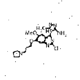 COc1cc2c([SH]3C(C)=NN=C3N)nc(Cl)nc2cc1OCCCN1CCCC1